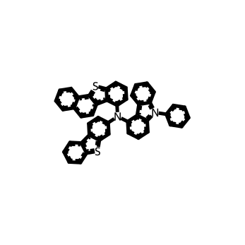 c1ccc(-n2c3ccccc3c3c(N(c4ccc5c(c4)sc4ccccc45)c4cccc5sc6c7ccccc7ccc6c45)cccc32)cc1